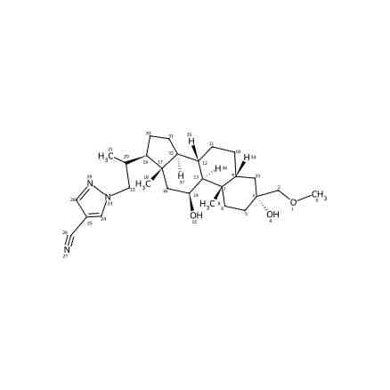 COC[C@@]1(O)CC[C@@]2(C)[C@H](CC[C@@H]3[C@@H]2[C@@H](O)C[C@]2(C)[C@@H](C(C)Cn4cc(C#N)cn4)CC[C@@H]32)C1